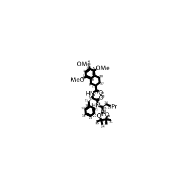 COc1cc(OC)c(OC)c2c1CC(C(=O)N[C@@H](Cc1ccccc1)C(=O)N[C@@H](CC(C)C)B1OC(C)(C)C(C)(C)O1)CC2